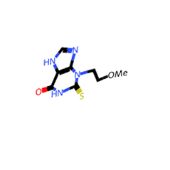 COCCn1c(=S)[nH]c(=O)c2[nH]cnc21